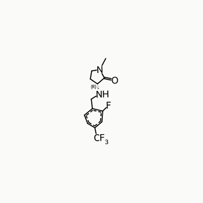 CN1CC[C@@H](NCc2ccc(C(F)(F)F)cc2F)C1=O